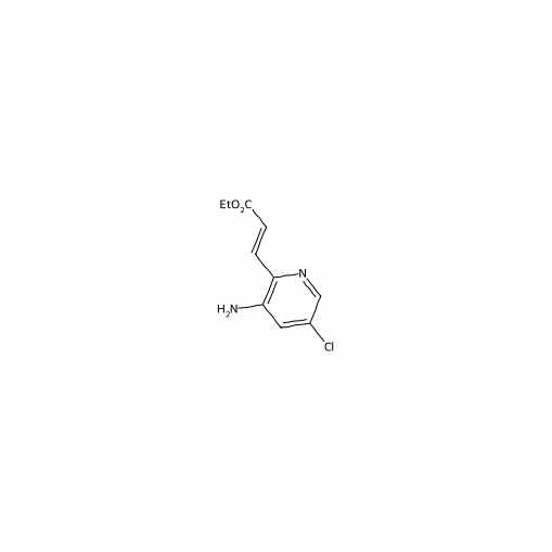 CCOC(=O)/C=C/c1ncc(Cl)cc1N